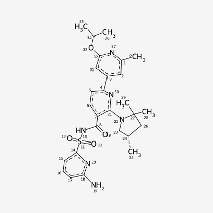 Cc1cc(-c2ccc(C(=O)NS(=O)(=O)c3cccc(N)n3)c(N3C[C@@H](C)CC3(C)C)n2)cc(OC(C)C)n1